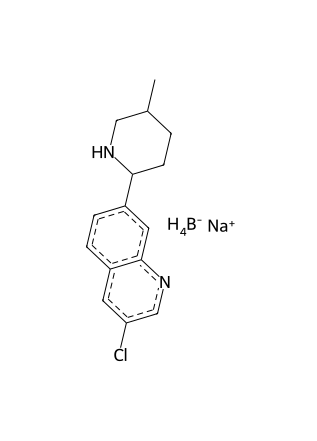 CC1CCC(c2ccc3cc(Cl)cnc3c2)NC1.[BH4-].[Na+]